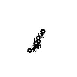 C[C@]12CC[C@H]3[C@@H](CC=C4C[C@@H](OC(=O)c5ccccc5)CC[C@@]43C)[C@@H]1[C@@H]1C[C@@H]1[C@@H]2OC(=O)c1ccccc1